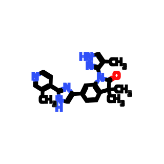 Cc1cnccc1-c1nc(-c2ccc3c(c2)N(c2n[nH]cc2C)C(=O)C3(C)C)c[nH]1